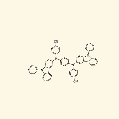 N#Cc1ccc(N(c2ccc(N(c3ccc(C#N)cc3)C3C=c4c(n(-c5ccccc5)c5ccccc45)=CC3)cc2)c2ccc3c(c2)C2C=CC=CC2N3c2ccccc2)cc1